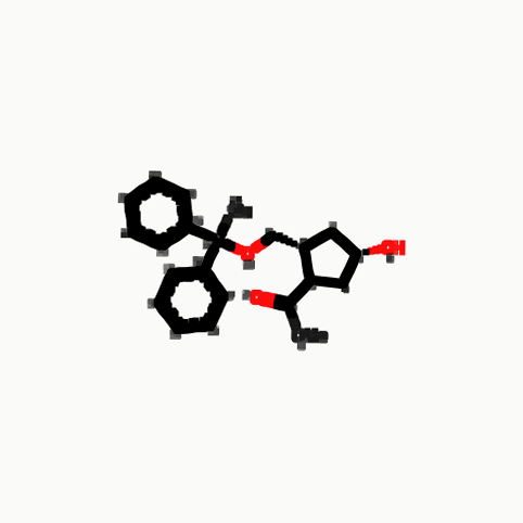 COC(=O)C1C[C@@H](O)C[C@H]1CO[Si](c1ccccc1)(c1ccccc1)C(C)(C)C